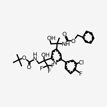 CC(C)(C)OC(=O)NCC(O)(c1cc(C(C)(CO)NC(=O)OCc2ccccc2)cc(-c2ccc(F)c(Cl)c2)n1)C(F)(F)F